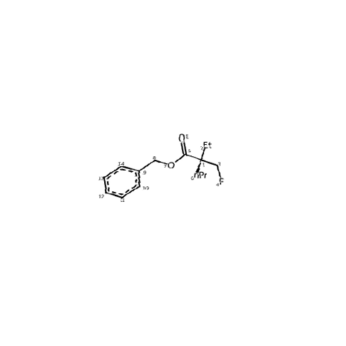 CCC[C@@](CC)(CF)C(=O)OCc1ccccc1